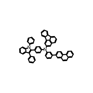 c1ccc(-c2c(-c3ccc(N(c4cccc(-c5ccc6c(ccc7ccccc76)c5)c4)c4cc5c6c(cccc6c4)-c4ccccc4-5)cc3)n(-c3ccccc3)c3ccccc23)cc1